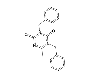 Cc1nc(=O)n(Cc2ccccc2)c(=O)n1Cc1ccccc1